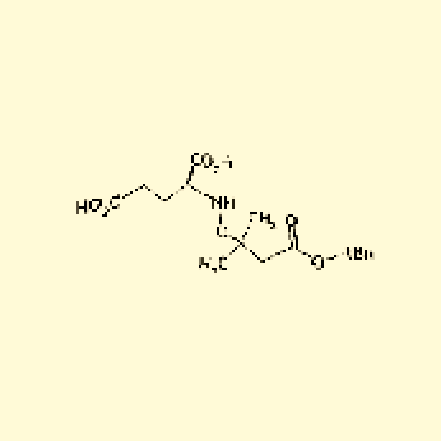 CC(C)(C)OC(=O)CC(C)(C)ON[C@@H](CCC(=O)O)C(=O)O